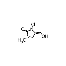 CN1C/C(=C\O)N(Cl)C1=O